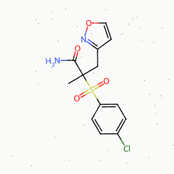 CC(Cc1ccon1)(C(N)=O)S(=O)(=O)c1ccc(Cl)cc1